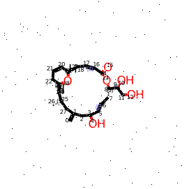 C=C1CC(O)/C=C/C[C@@H]([C@@H](O)CO)OC(=O)/C=C\C[C@@H]2C=CC[C@@H](C[C@@H](C)C1)O2